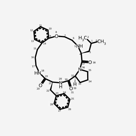 CC(C)C[C@@H]1NCCOc2ccccc2CCCNC(=O)[C@H](Cc2ccccc2)NC(=O)[C@@H]2CCCN2C1=O